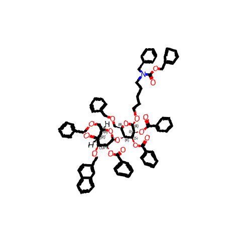 O=C(O[C@@H]1[C@@H](OC(=O)c2ccccc2)[C@H](OCCCCCN(Cc2ccccc2)C(=O)OCc2ccccc2)O[C@H](COCc2ccccc2)[C@H]1O[C@@H]1O[C@@H]2COC(c3ccccc3)O[C@H]2[C@H](OCc2ccc3ccccc3c2)[C@H]1OC(=O)c1ccccc1)c1ccccc1